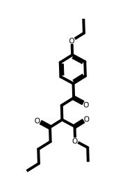 CCCCC(=O)C(CC(=O)c1ccc(OCC)cc1)C(=O)OCC